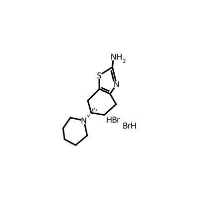 Br.Br.Nc1nc2c(s1)C[C@@H](N1CCCCC1)CC2